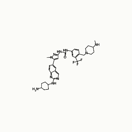 CNC1CCN(Cc2ccc(NC(=O)Nc3cc(-c4ccc5nc(NC6CCC(N)CC6)ncc5c4)n(C)n3)cc2C(F)(F)F)CC1